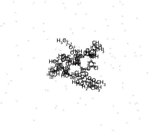 CCCCOCC(=O)NC(=O)C[C@@H]1NC(=O)[C@H](NC(=O)[C@@H](CC(C)C)NC)[C@H](O)c2ccc(c(Cl)c2)Oc2cc3cc(c2O[C@@H]2O[C@H](CO)[C@@H](O)[C@H](O)[C@H]2O[C@H]2C[C@](C)(N)[C@H](O)[C@H](C)O2)Oc2ccc(cc2Cl)[C@@H](O)[C@@H]2NC(=O)[C@H](NC(=O)[C@@H]3NC1=O)c1ccc(O)c(c1)-c1c(O)cc(O)cc1[C@@H](C(=O)NC1C3CC4CC(C3)CC1C4)NC2=O